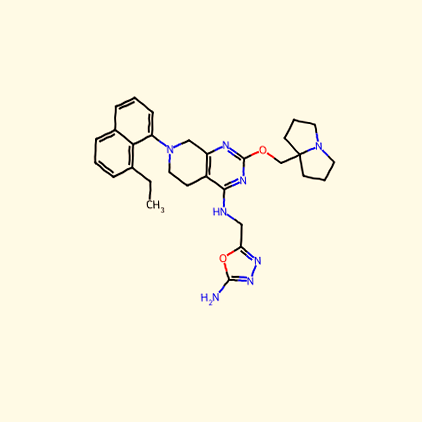 CCc1cccc2cccc(N3CCc4c(nc(OCC56CCCN5CCC6)nc4NCc4nnc(N)o4)C3)c12